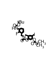 CN(C)C(=O)Oc1cc2c(cc1I)CN(Cc1cccc(NC(=O)OC(C)(C)C)c1F)C(=O)O2